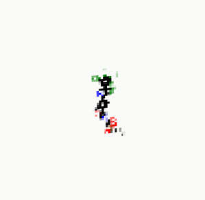 CS(=O)(=O)CC(=O)N1CC2(C1)OCc1cc(C3=NCC(c4cc(Cl)c(F)c(Cl)c4)(C(F)(F)F)C3)ccc12